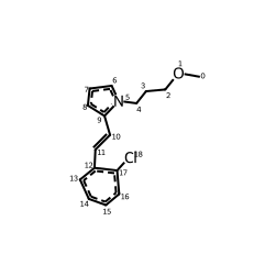 COCCCn1cccc1/C=C/c1ccccc1Cl